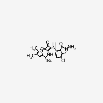 Cc1cc(C(Nc2c(Nc3ccc(Cl)c4c3C(=O)N(N)C4)c(=O)c2=O)C(C)(C)C)oc1C